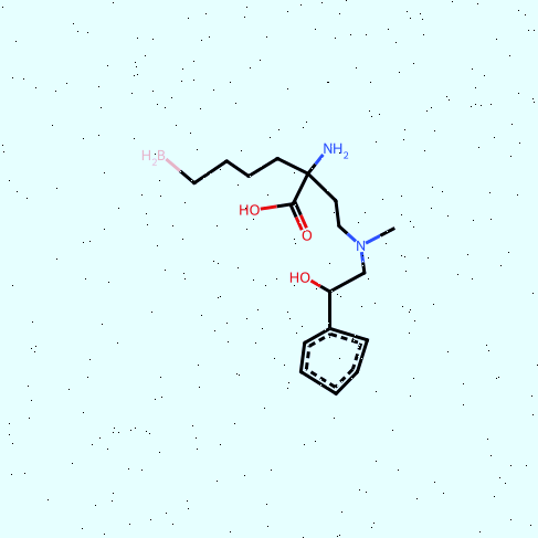 BCCCCC(N)(CCN(C)CC(O)c1ccccc1)C(=O)O